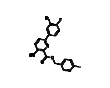 Cc1ccc(COC(=O)c2nc(-c3ccc(F)c(Br)c3)ccc2N=O)cc1